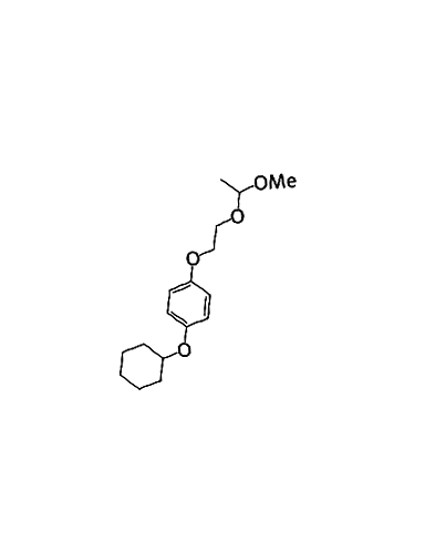 COC(C)OCCOc1ccc(OC2CCCCC2)cc1